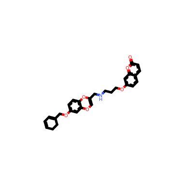 O=c1ccc2ccc(OCCCNCC3=COc4cc(OCC5=CC=CCC5)ccc4O3)cc2o1